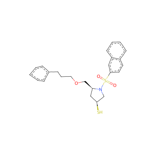 O=S(=O)(c1ccc2ccccc2c1)N1C[C@@H](S)C[C@H]1COCCCc1ccccc1